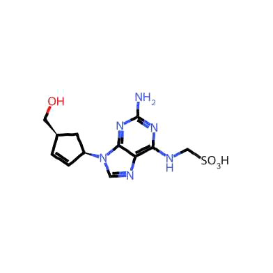 Nc1nc(NCS(=O)(=O)O)c2ncn([C@H]3C=C[C@@H](CO)C3)c2n1